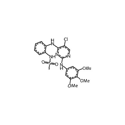 COc1cc(Nc2ncc(Cl)c(Nc3ccccc3NS(C)(=O)=O)n2)cc(OCC(C)C)c1OC